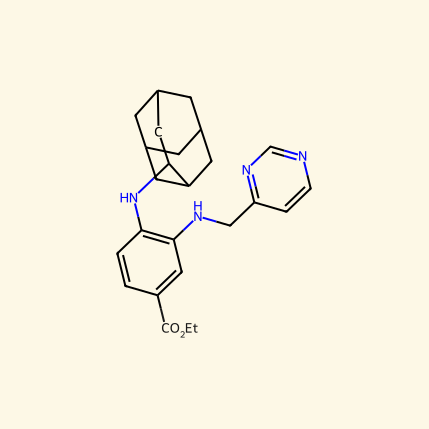 CCOC(=O)c1ccc(NC2CC3CC4CC(C3)CC2C4)c(NCc2ccncn2)c1